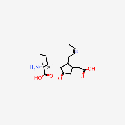 C/C=C\CC1CC(=O)CC1CC(=O)O.CC[C@H](C)[C@H](N)C(=O)O